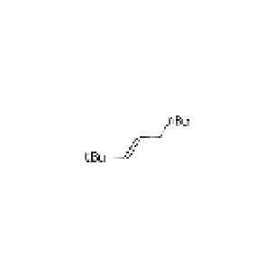 [CH2]CCCCC=CC(C)(C)C